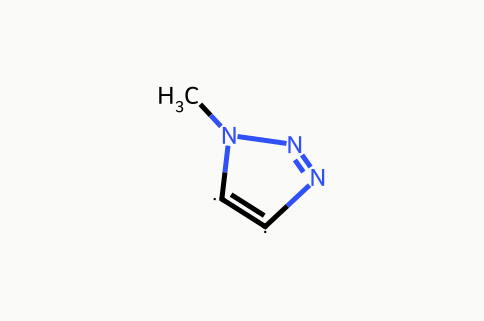 Cn1[c][c]nn1